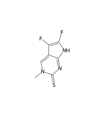 Cn1cc2c(F)c(F)[nH]c2nc1=S